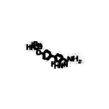 CC(C)(C)NC(=O)Oc1ccc(-c2ccc3c(N)n[nH]c3c2F)cc1